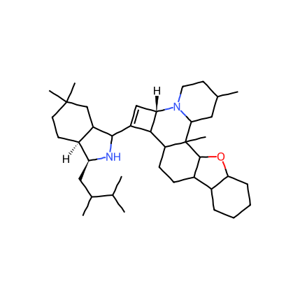 CC1CCN2C(C1)C1(C)C(CCC3C4CCCCC4OC31)C1C(C3N[C@@H](CC(C)C(C)C)[C@H]4CCC(C)(C)CC34)=C[C@@H]12